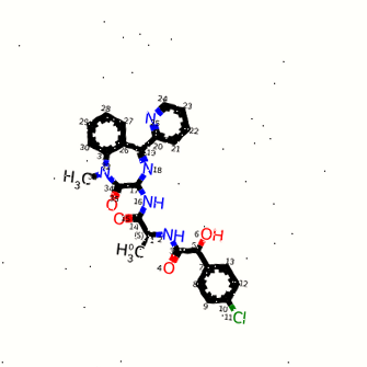 C[C@H](NC(=O)C(O)c1ccc(Cl)cc1)C(=O)NC1N=C(c2ccccn2)c2ccccc2N(C)C1=O